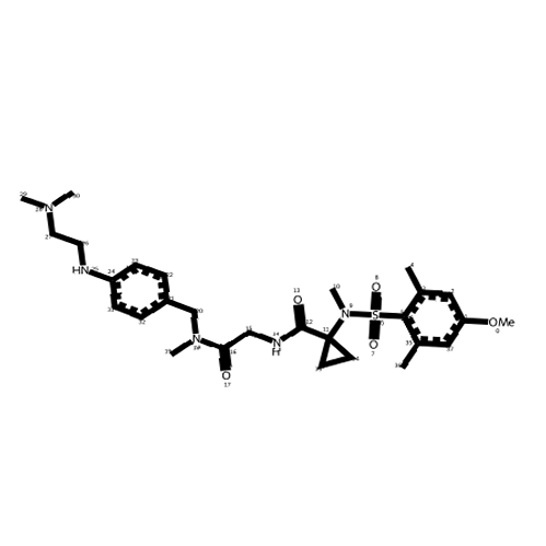 COc1cc(C)c(S(=O)(=O)N(C)C2(C(=O)NCC(=O)N(C)Cc3ccc(NCCN(C)C)cc3)CC2)c(C)c1